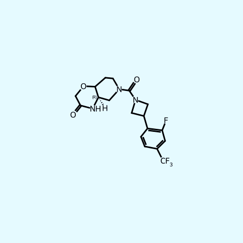 O=C1COC2CCN(C(=O)N3CC(c4ccc(C(F)(F)F)cc4F)C3)C[C@H]2N1